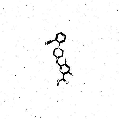 COC(=O)c1nc(CN2CCN(c3ccccc3C#N)CC2)c(F)cc1F